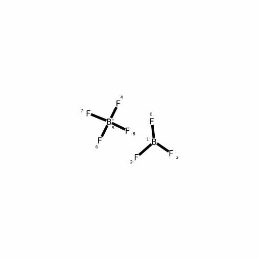 FB(F)F.F[B-](F)(F)F